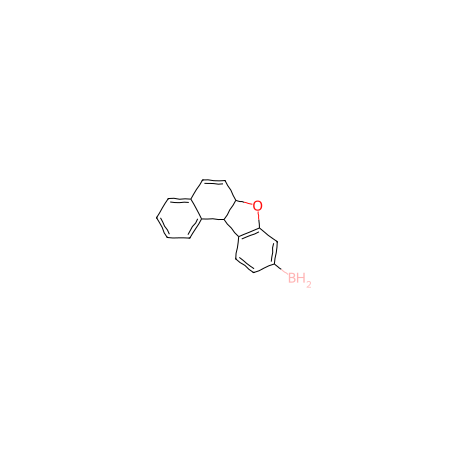 Bc1ccc2c(c1)OC1C=Cc3ccccc3C21